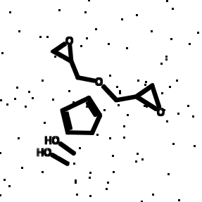 C(OCC1CO1)C1CO1.C1=CCC=C1.CO.CO